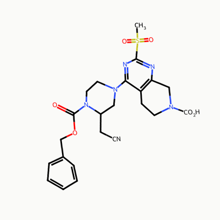 CS(=O)(=O)c1nc2c(c(N3CCN(C(=O)OCc4ccccc4)C(CC#N)C3)n1)CCN(C(=O)O)C2